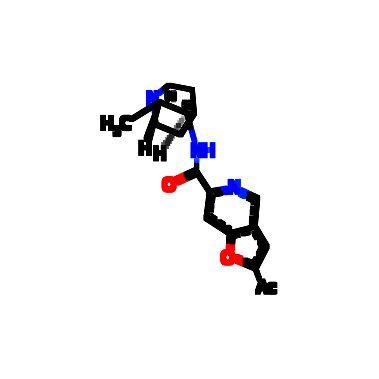 CC(=O)c1cc2cnc(C(=O)N[C@@H]3C4CCN(CC4)[C@H]3C)cc2o1